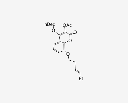 CC/C=C/CCOc1cccc2c(OCCCCCCCCCC)c(OC(C)=O)c(=O)oc12